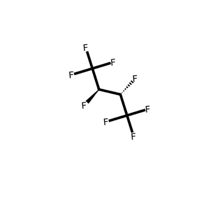 F[C@H]([C@H](F)C(F)(F)F)C(F)(F)F